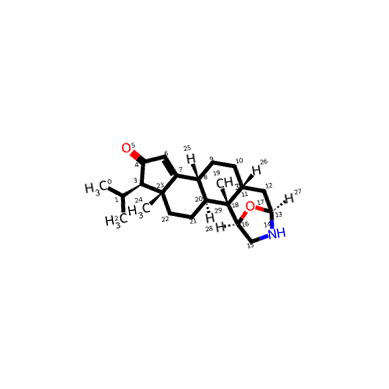 CC(C)[C@H]1C(=O)C=C2[C@@H]3CC[C@@H]4C[C@H]5NC[C@H](O5)[C@]4(C)[C@H]3CC[C@@]21C